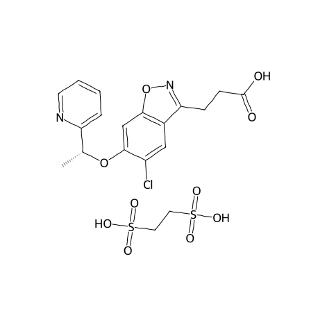 C[C@@H](Oc1cc2onc(CCC(=O)O)c2cc1Cl)c1ccccn1.O=S(=O)(O)CCS(=O)(=O)O